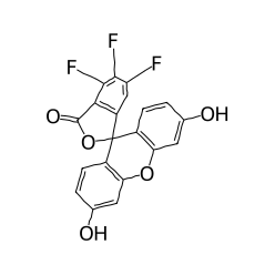 O=C1OC2(c3ccc(O)cc3Oc3cc(O)ccc32)c2cc(F)c(F)c(F)c21